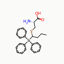 CCCC(SC[C@H](N)C(=O)O)[Si](c1ccccc1)(c1ccccc1)c1ccccc1